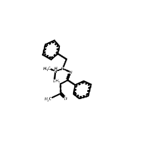 CC(=O)CC(=NN(Cc1ccccc1)[SiH](C)C)c1ccccc1